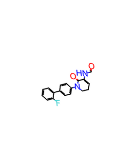 O=CNC1=CCCN(c2ccc(-c3ccccc3F)cc2)C1=O